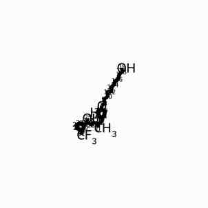 CC(Cc1ccc(OCCCCCCCCCCCO)cc1)NCC(O)c1cccc(C(F)(F)F)c1